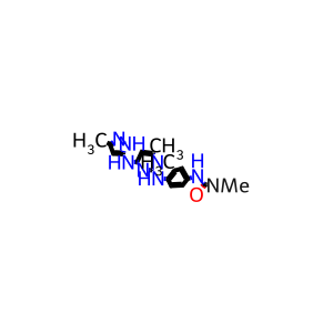 CNC(=O)Nc1ccc(Nc2nc(C)cc(Nc3cc(C)n[nH]3)n2)c(C)c1